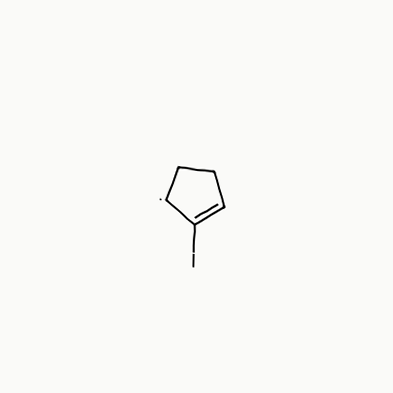 IC1=CCC[CH]1